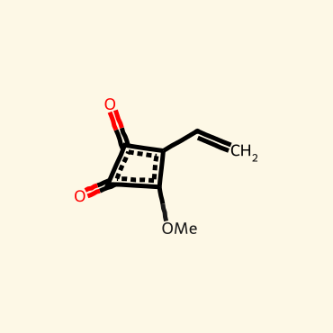 C=Cc1c(OC)c(=O)c1=O